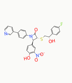 O=C1[C@H](SC[C@@H](O)c2ccc(F)cc2)[C@@H](c2ccc(O)c([N+](=O)[O-])c2)N1c1ccc(-c2cccnc2)cc1